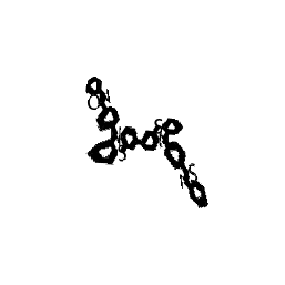 c1ccc2c(c1)Sc1cc(-c3ccc4c(c3)Sc3ccccc3N4c3ccc(-c4nc5ccccc5s4)cc3)ccc1N2c1ccc(-c2nc3ccccc3o2)cc1